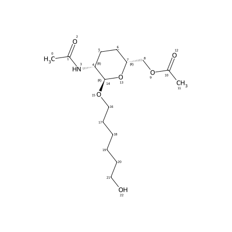 CC(=O)N[C@@H]1[CH][CH][C@H](COC(C)=O)O[C@H]1OCCCCCCO